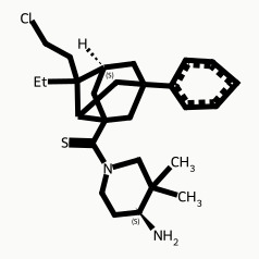 CCC1(CCCl)C2CC3(c4ccccc4)C[C@H]1CC2(C(=S)N1CC[C@H](N)C(C)(C)C1)C3